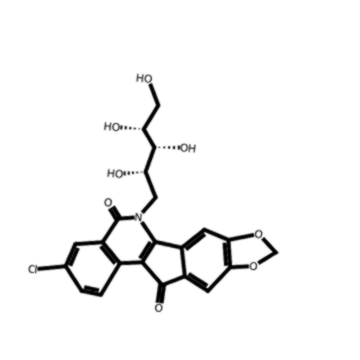 O=C1c2cc3c(cc2-c2c1c1ccc(Cl)cc1c(=O)n2C[C@H](O)[C@@H](O)[C@H](O)CO)OCO3